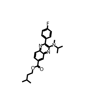 CC(C)CCOC(=O)c1ccc2nc(-c3ccc(F)cc3)c(N(C)C(C)C)nc2c1